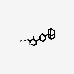 Cc1c(-c2ccc(C34CC5CC(CC(C5)C3)C4)cc2)ccnc1OC(=O)O